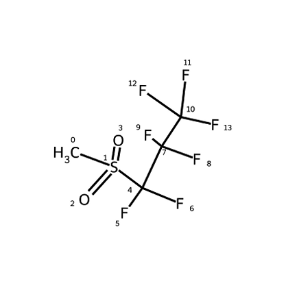 CS(=O)(=O)C(F)(F)C(F)(F)C(F)(F)F